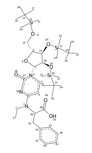 CCN(c1ccn([C@@H]2O[C@H](CO[Si](C)(C)C(C)(C)C)[C@@H](O[Si](C)(C)C(C)(C)C)[C@H]2O[Si](C)(C)C(C)(C)C)c(=O)n1)C(Cc1ccccc1)C(=O)O